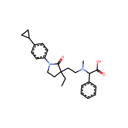 CCC1(CCN(C)C(C(=O)O)c2ccccc2)CCN(c2ccc(C3CC3)cc2)C1=O